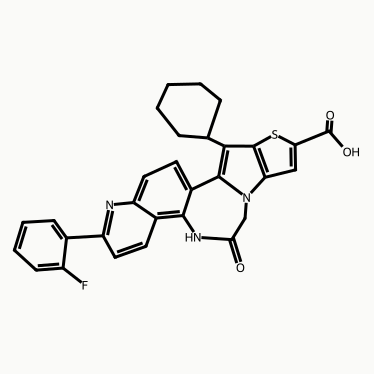 O=C1Cn2c(c(C3CCCCC3)c3sc(C(=O)O)cc32)-c2ccc3nc(-c4ccccc4F)ccc3c2N1